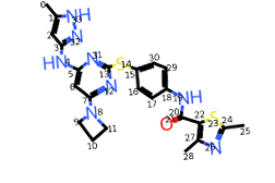 Cc1cc(Nc2cc(N3CCC3)nc(Sc3ccc(NC(=O)c4sc(C)nc4C)cc3)n2)n[nH]1